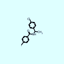 CC(NC(=O)c1ccc(I)cc1)c1ccc(Cl)cc1